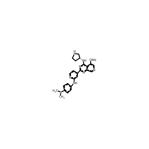 COc1cncc2nc(-c3ccnc(Nc4ccc(N(C)C)cc4)c3)nc(N[C@@H]3CCNC3)c12